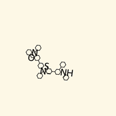 C1=CC2C(CC1C1CCC(NC3=CCCCC3)C(C3CCCCC3)C1)SC1CC(C3CCC4C(C3)OC3CCCCC3N4C3CCCCC3)CCC1N2C1CCCCC1